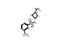 Cc1cccc(S(=O)(=O)C[C@H]2C[C@H](N)C2)c1